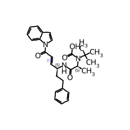 C[C@@H](C(=O)N[C@H](/C=C/C(=O)n1ccc2ccccc21)CCc1ccccc1)N(C(=O)O)C(C)(C)C